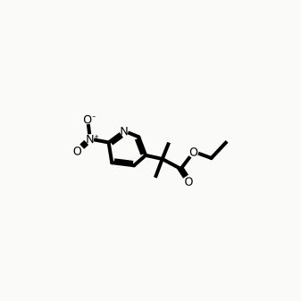 CCOC(=O)C(C)(C)c1ccc([N+](=O)[O-])nc1